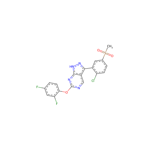 CS(=O)(=O)c1ccc(Cl)c(-c2n[nH]c3nc(Oc4ccc(F)cc4F)ncc23)c1